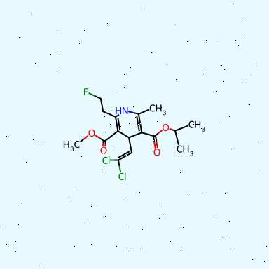 COC(=O)C1=C(CCF)NC(C)=C(C(=O)OC(C)C)C1C=C(Cl)Cl